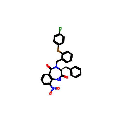 O=C1Nc2c(cccc2[N+](=O)[O-])C(=O)N(Cc2ccccc2Sc2ccc(Cl)cc2)[C@@H]1Cc1ccccc1